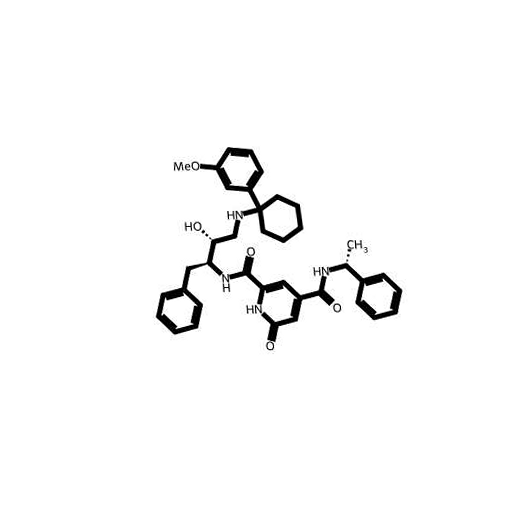 COc1cccc(C2(NC[C@@H](O)[C@H](Cc3ccccc3)NC(=O)c3cc(C(=O)N[C@H](C)c4ccccc4)cc(=O)[nH]3)CCCCC2)c1